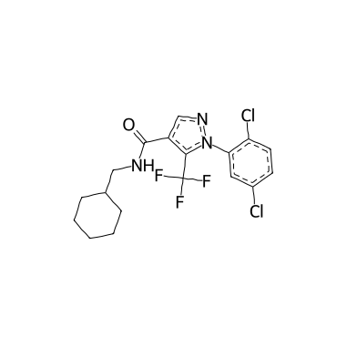 O=C(NCC1CCCCC1)c1cnn(-c2cc(Cl)ccc2Cl)c1C(F)(F)F